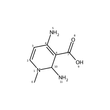 CN1C=CC(N)=C(C(=O)O)C1N